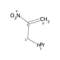 C=C(CCCC)[N+](=O)[O-]